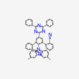 Cc1ccc2c(c1)c1cc(C)ccc1n2-c1c(-c2ccccc2C#N)cc(-c2nc(-c3ccccc3)nc(-c3ccccc3)n2)cc1-c1ccccc1C#N